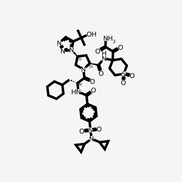 CC(C)(O)c1cnnn1[C@H]1C[C@@H](C(=O)NC2(C(=O)C(N)=O)CCS(=O)(=O)CC2)N(C(=O)[C@@H](CC2CCCCC2)NC(=O)c2ccc(S(=O)(=O)N(C3CC3)C3CC3)cc2)C1